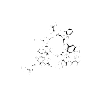 CC(C)[C@H](N)C(=O)NC(CC(=O)O)C(=O)N[C@H]1CSSC[C@@H](C(=O)N2CCC[C@H]2C(=O)N[C@@H](CCCN=C(N)N)C(=O)NCC(N)=O)NC(=O)[C@H](CC(N)=O)NC(=O)[C@H](CCC(N)=O)NC(=O)[C@H](Cc2ccccc2)NC(=O)[C@H](Cc2ccc(O)cc2)NC1=O